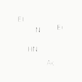 [CH2]C(=O)NN(CC)CC